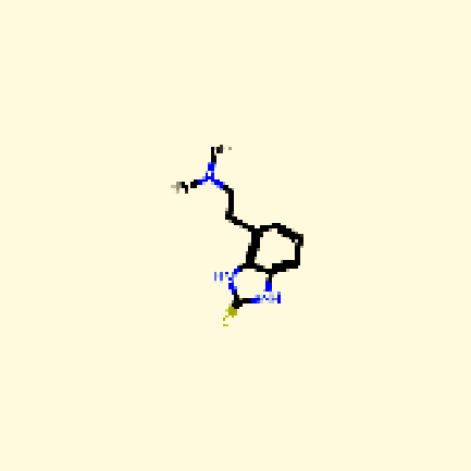 CCCN(CCC)CCc1cccc2[nH]c(=S)[nH]c12